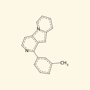 Cc1cccc(-c2nccc3c2cc2ccccn23)c1